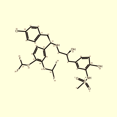 CS(=O)(=O)Nc1cc(C[C@H](O)CN[C@H](Cc2ccc(Cl)cc2)c2ccc(OC(F)F)c(OC(F)F)c2)ccc1O